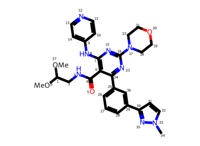 COC(CNC(=O)c1c(Nc2ccncc2)nc(N2CCOCC2)nc1-c1cccc(-c2ccn(C)n2)c1)OC